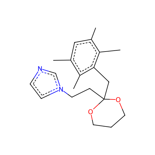 Cc1cc(C)c(C)c(CC2(CCn3ccnc3)OCCCO2)c1C